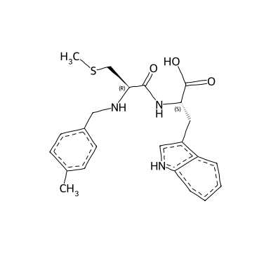 CSC[C@H](NCc1ccc(C)cc1)C(=O)N[C@@H](Cc1c[nH]c2ccccc12)C(=O)O